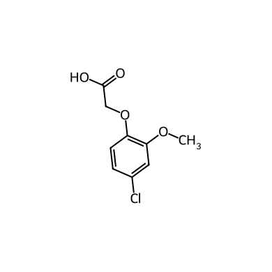 COc1cc(Cl)ccc1OCC(=O)O